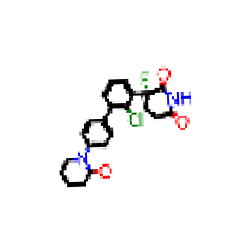 O=C1CC[C@@](F)(c2cccc(-c3ccc(N4CCCCC4=O)cc3)c2Cl)C(=O)N1